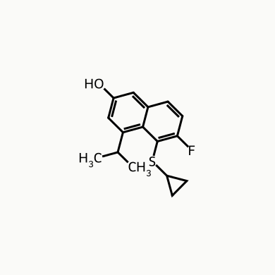 CC(C)c1cc(O)cc2ccc(F)c(SC3CC3)c12